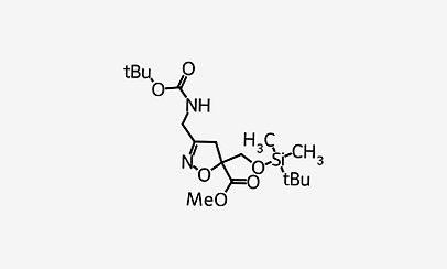 COC(=O)C1(CO[Si](C)(C)C(C)(C)C)CC(CNC(=O)OC(C)(C)C)=NO1